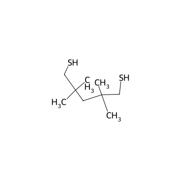 CC(C)(CS)CC(C)(C)CS